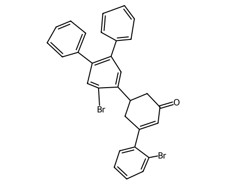 O=C1C=C(c2ccccc2Br)CC(c2cc(-c3ccccc3)c(-c3ccccc3)cc2Br)C1